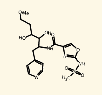 COCCC(O)C(O)C(Cc1ccncc1)NC(=O)c1coc(NS(C)(=O)=O)n1